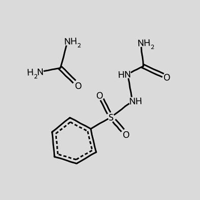 NC(=O)NNS(=O)(=O)c1ccccc1.NC(N)=O